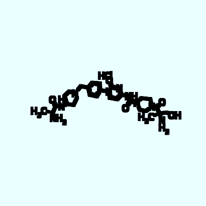 C[C@H](N)C(=O)NC1CCN(Cc2ccc(-n3ccc(NC(=O)N4CCN(C(=O)[C@@](C)(N)CO)CC4)nc3=O)cc2)CC1.Cl